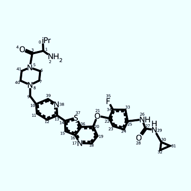 CC(C)C(N)C(=O)N1CCN(Cc2ccc(-c3cc4nccc(Oc5ccc(NC(=O)NC6CC6)cc5F)c4s3)nc2)CC1